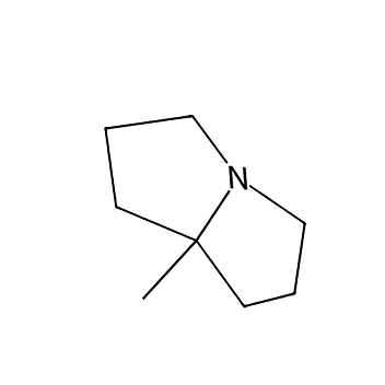 CC12CCCN1CCC2